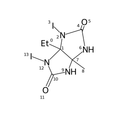 CCC12N(I)C(=O)NC1(C)NC(=O)N2I